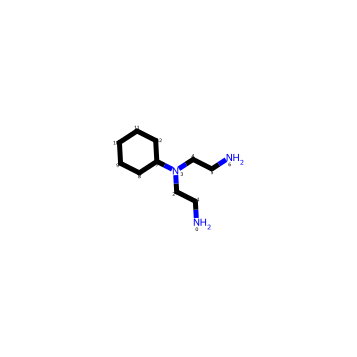 NCCN(CCN)C1CCCCC1